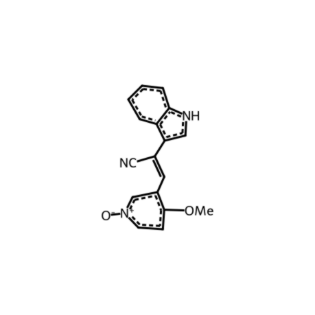 COc1cc[n+]([O-])cc1/C=C(\C#N)c1c[nH]c2ccccc12